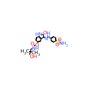 CC(C)(CO)CNC(=O)Oc1ccc2c(c1)C(=NNc1ccc(S(N)(=O)=O)cc1)C(=O)N2